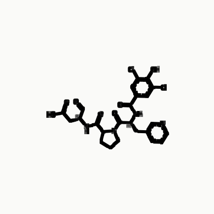 O=C[C@H](CC(=O)O)NC(=O)C1CCCN1C(=O)[C@H](Cc1cccnc1)NC(=O)c1cc(Cl)c(O)c(Cl)c1